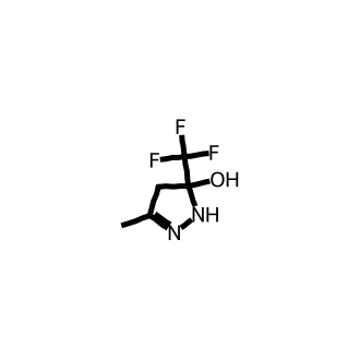 CC1=NNC(O)(C(F)(F)F)C1